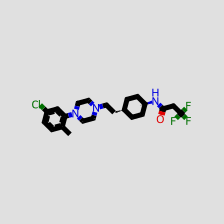 Cc1ccc(Cl)cc1N1CCN(CC[C@H]2CC[C@H](NC(=O)CC(F)(F)F)CC2)CC1